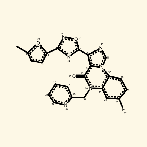 Cc1ccc(-c2noc(-c3ncn4c3c(=O)n(Cc3ccccn3)c3cc(F)ccc34)n2)o1